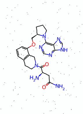 NC(=O)C[C@@H](N)C(=O)N1CCc2cccc(OC[C@H]3CCCN3c3ncnc4[nH]cnc34)c2C1